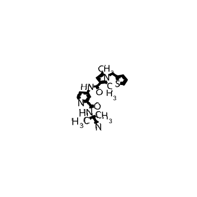 Cc1cc(C(=O)Nc2ccnc(C(=O)NC(C)(C)C#N)c2)c(C)n1Cc1cccs1